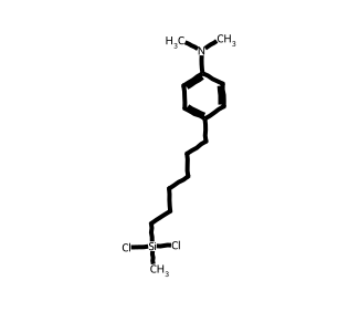 CN(C)c1ccc(CCCCCC[Si](C)(Cl)Cl)cc1